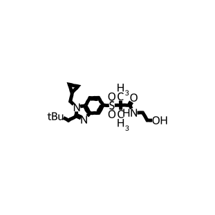 CC(C)(C)Cc1nc2cc(S(=O)(=O)C(C)(C)C(=O)NCCO)ccc2n1CC1CC1